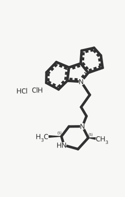 C[C@H]1CN(CCCn2c3ccccc3c3ccccc32)[C@@H](C)CN1.Cl.Cl